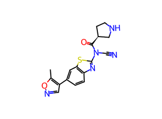 Cc1oncc1-c1ccc2nc(N(C#N)C(=O)[C@H]3CCNC3)sc2c1